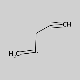 C#CC[C]=C